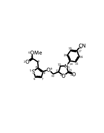 COC(=O)Cc1sccc1OCC1CN(c2ccc(C#N)cc2)C(=O)O1